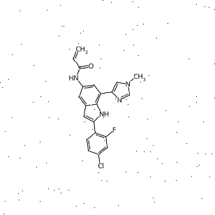 C=CC(=O)Nc1cc(-c2cn(C)cn2)c2[nH]c(-c3ccc(Cl)cc3F)cc2c1